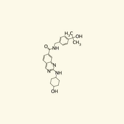 CC(C)(O)c1ccc(CNC(=O)c2ccc3cnc(NC4CCC(O)CC4)nc3c2)cc1